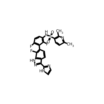 Cc1ccc(S(=O)(=O)Nc2ccc(F)c(-c3ccc4c(-c5ncc[nH]5)n[nH]c4c3F)c2F)c(C)n1